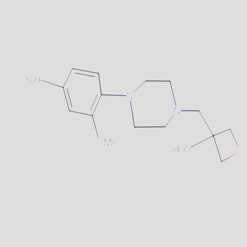 COc1cc(C(C)(C)C)ccc1N1CCN(CC2(C)COC2)CC1